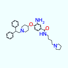 Nc1cc(C(=O)NCCCCN2CCCC2)ccc1OC1CCN(CC(c2ccccc2)c2ccccc2)CC1